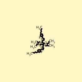 CCCCCc1ccc(-c2ccc(C3=C4C(=O)N(CC(CC)CCCC)C(c5ccc(-c6ccc(CCCCC)cc6F)s5)=C4C(=O)N3CC(CC)CCCC)s2)c(F)c1